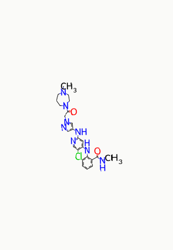 CNC(=O)c1ccccc1Nc1cc(Nc2cnn(CC(=O)N3CCCN(C)CC3)c2)ncc1Cl